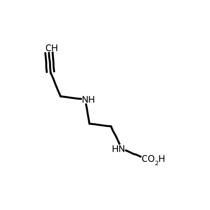 C#CCNCCNC(=O)O